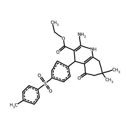 CCOC(=O)C1=C(N)NC2=C(C(=O)CC(C)(C)C2)C1c1ccc(S(=O)(=O)c2ccc(C)cc2)cc1